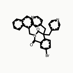 O=C1c2cc(Br)ccc2C(Cc2ccncc2)(Cc2ccncc2)C(=O)N1Cc1cccc2ccccc12